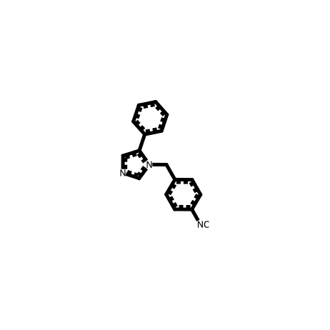 [C-]#[N+]c1ccc(Cn2cncc2-c2ccccc2)cc1